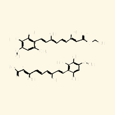 CCOC(=O)/C=C(C)/C=C/C=C(C)/C=C/c1c(C)cc(OC)c(C)c1C.COc1cc(C)c(/C=C/C(C)=C/C=C/C(C)=C/C(=O)O)c(C)c1C